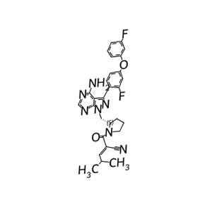 CC(C)C=C(C#N)C(=O)N1CCC[C@H]1Cn1nc(-c2ccc(Oc3cccc(F)c3)cc2F)c2c(N)ncnc21